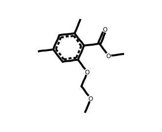 COCOc1cc(C)cc(C)c1C(=O)OC